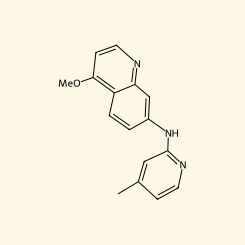 COc1ccnc2cc(Nc3cc(C)ccn3)ccc12